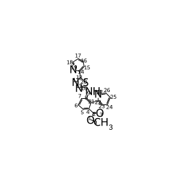 COC(=O)c1cccc(Nc2nnc(-c3ccccn3)s2)c1-c1ccccn1